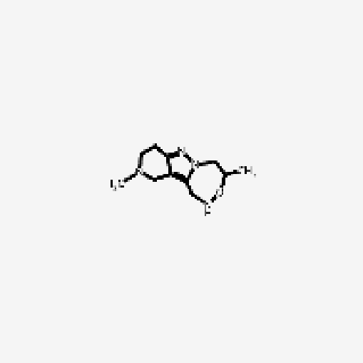 CC1Cn2nc3c(c2CNO1)CN(C)CC3